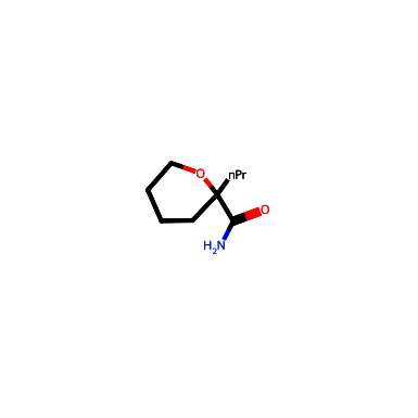 [CH2]CCC1(C(N)=O)CCCCO1